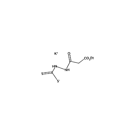 CCOC(=O)CC(=O)NNC(=S)[S-].[K+]